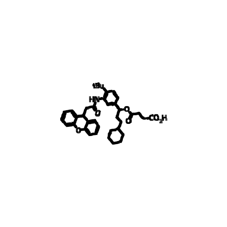 CC(C)(C)c1ccc(C(CCC2CCCCC2)OC(=O)CCC(=O)O)cc1NC(=O)CC1c2ccccc2Oc2ccccc21